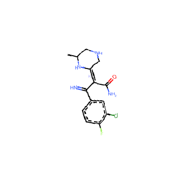 CC1CNC/C(=C(/C(=N)c2ccc(F)c(Cl)c2)C(N)=O)N1